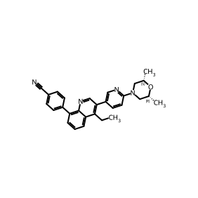 CCc1c(-c2ccc(N3C[C@@H](C)O[C@@H](C)C3)nc2)cnc2c(-c3ccc(C#N)cc3)cccc12